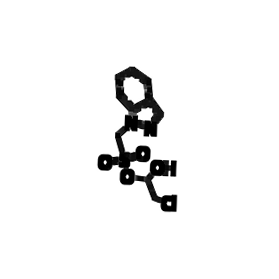 O=S(=O)(Cn1ncc2ccccc21)OC(O)CCl